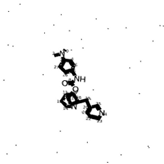 CN(C)c1ccc(NC(=O)OC2C3CCN(CC3)C2Cc2cccnc2)cc1